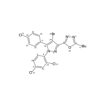 CCC(C)c1nnc(-c2nn(-c3ccc(Cl)cc3Cl)c(-c3ccc(Cl)cc3)c2Br)o1